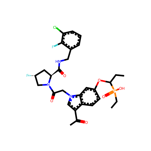 CCC(Oc1ccc2c(C(C)=O)cn(CC(=O)N3C[C@H](F)C[C@H]3C(=O)NCc3cccc(Cl)c3F)c2c1)P(=O)(O)CC